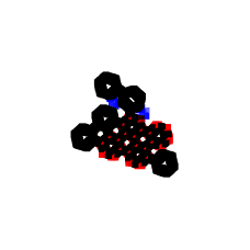 c1ccc(-c2ccccc2-c2ccccc2-c2c3c(c(-c4cccc5c6ccccc6c6ccccc6c45)c(-c4ccccc4-c4ccccc4-c4ccccc4)c2-c2ccccc2-c2ccccc2-c2ccccc2)-c2c4c(ccc2=N3)=c2ccccc2=N4)cc1